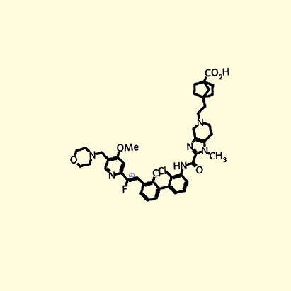 COc1cc(/C(F)=C/c2cccc(-c3cccc(NC(=O)c4nc5c(n4C)CCN(CCC46CCC(C(=O)O)(CC4)C6)C5)c3Cl)c2Cl)ncc1CN1CCOCC1